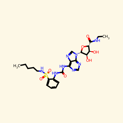 CCCCCNS(=O)(=O)c1ccccc1NC(=O)Nc1ncnc2c1ncn2[C@@H]1O[C@H](C(=O)NCC)[C@@H](O)[C@H]1O